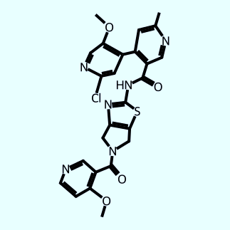 COc1ccncc1C(=O)N1Cc2nc(NC(=O)c3cnc(C)cc3-c3cc(Cl)ncc3OC)sc2C1